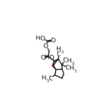 CC1CCC2C13CC(O)C(C)(C(C(=O)COC(=O)O)C3)C2(C)C